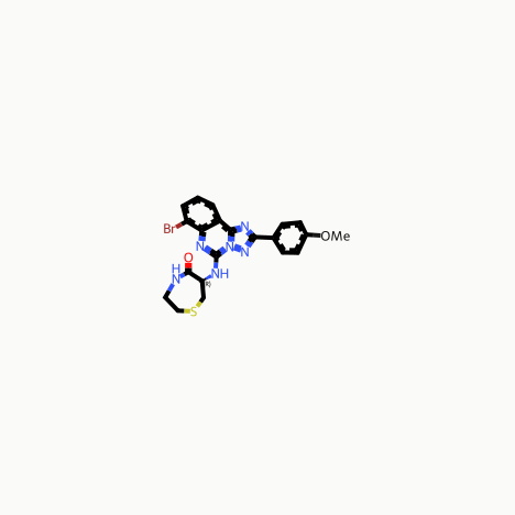 COc1ccc(-c2nc3c4cccc(Br)c4nc(N[C@H]4CSCCNC4=O)n3n2)cc1